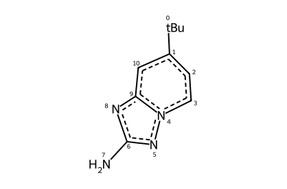 CC(C)(C)c1ccn2nc(N)nc2c1